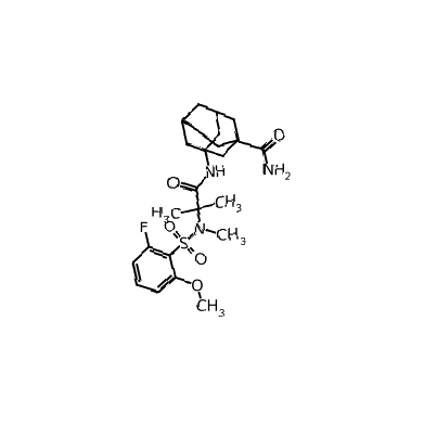 COc1cccc(F)c1S(=O)(=O)N(C)C(C)(C)C(=O)NC12CC3CC(C1)CC(C(N)=O)(C3)C2